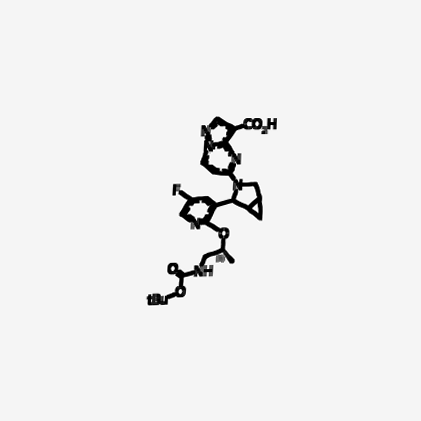 C[C@@H](CNC(=O)OC(C)(C)C)Oc1ncc(F)cc1C1C2CC2CN1c1ccn2ncc(C(=O)O)c2n1